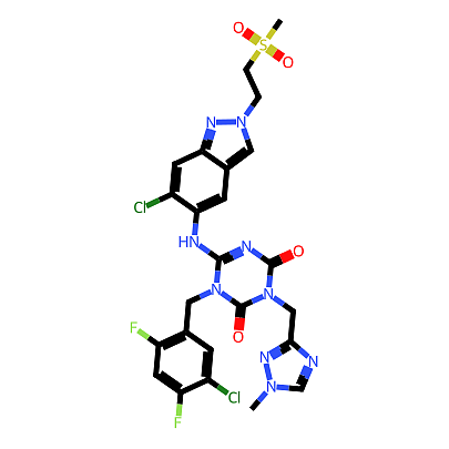 Cn1cnc(Cn2c(=O)nc(Nc3cc4cn(CCS(C)(=O)=O)nc4cc3Cl)n(Cc3cc(Cl)c(F)cc3F)c2=O)n1